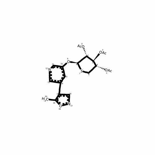 CC(=O)O[C@@H]1[C@@H](OC(C)=O)[C@H](OC(C)=O)CS[C@H]1Oc1cncc(-c2cnoc2C)c1